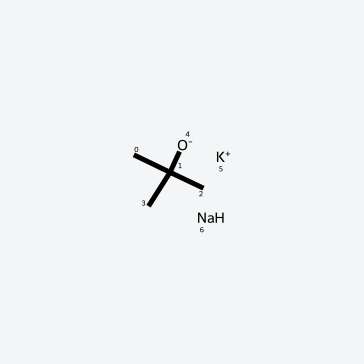 CC(C)(C)[O-].[K+].[NaH]